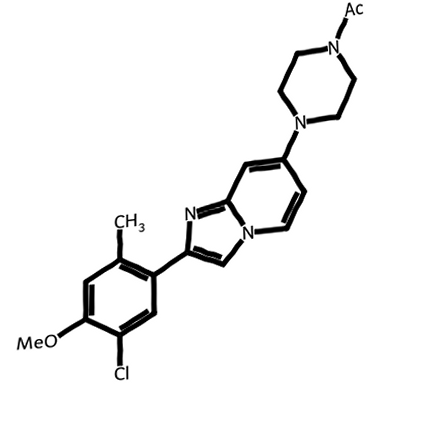 COc1cc(C)c(-c2cn3ccc(N4CCN(C(C)=O)CC4)cc3n2)cc1Cl